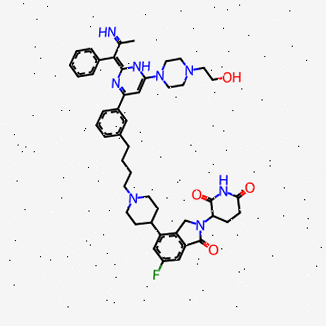 CC(=N)/C(=C1/N=C(c2cccc(CCCCN3CCC(c4cc(F)cc5c4CN(C4CCC(=O)NC4=O)C5=O)CC3)c2)C=C(N2CCN(CCO)CC2)N1)c1ccccc1